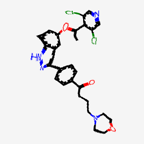 CC(Oc1ccc2[nH]nc(-c3ccc(C(=O)CCCN4CCOCC4)cc3)c2c1)c1c(Cl)cncc1Cl